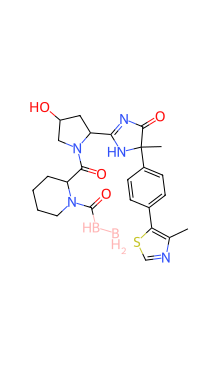 BBC(=O)N1CCCCC1C(=O)N1CC(O)CC1C1=NC(=O)C(C)(c2ccc(-c3scnc3C)cc2)N1